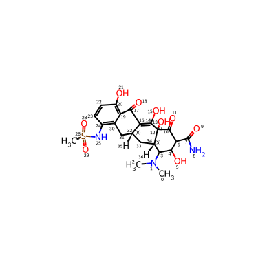 CN(C)C1C(O)C(C(N)=O)C(=O)[C@@]2(O)C(O)=C3C(=O)c4c(O)ccc(NS(C)(=O)=O)c4C[C@H]3C[C@@H]12